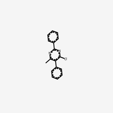 Cc1nc(-c2ccccc2)nc(Cl)c1-c1ccccc1